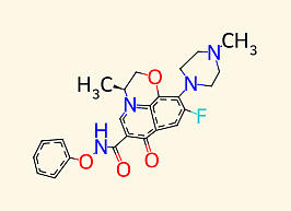 C[C@H]1COc2c(N3CCN(C)CC3)c(F)cc3c(=O)c(C(=O)NOc4ccccc4)cn1c23